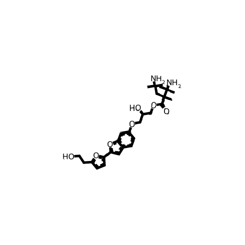 CC(C)(N)CC(C)(C(=O)OCC(O)COc1ccc2cc(-c3ccc(CCO)o3)oc2c1)C(C)(C)N